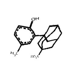 Cc1ccc(O)c(C23CC4CC(CC(C(=O)O)(C4)C2)C3)c1